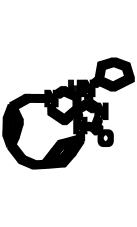 O=C1N=C(NC2CCCCC2)C23CCN(CC2)Cc2ccc(cc2)CCc2ccc(cc2)N13